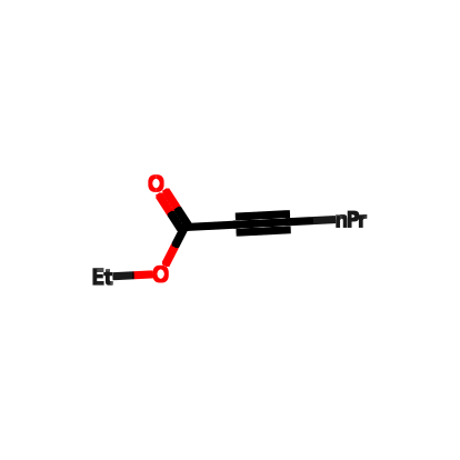 CCCC#CC(=O)OCC